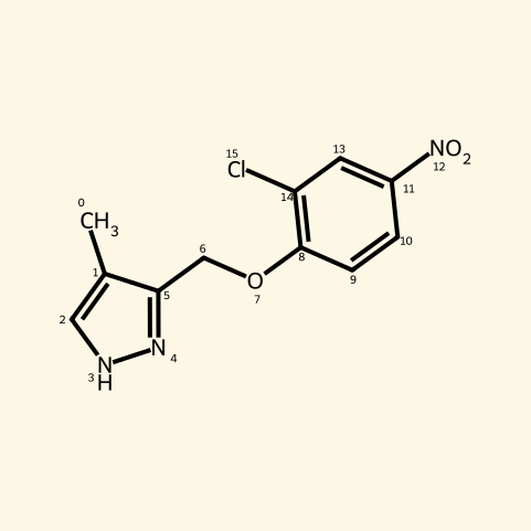 Cc1c[nH]nc1COc1ccc([N+](=O)[O-])cc1Cl